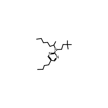 CCCCCC(C)N(CCC(C)(C)C)c1ncc(CCCC)cn1